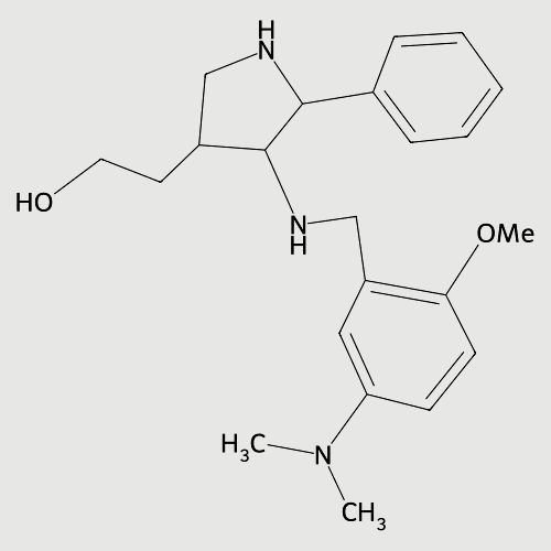 COc1ccc(N(C)C)cc1CNC1C(CCO)CNC1c1ccccc1